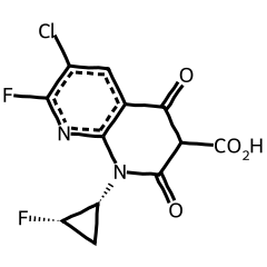 O=C(O)C1C(=O)c2cc(Cl)c(F)nc2N([C@@H]2C[C@@H]2F)C1=O